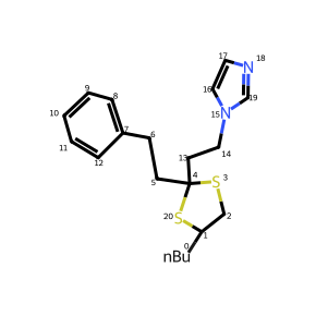 CCCCC1CSC(CCc2ccccc2)(CCn2ccnc2)S1